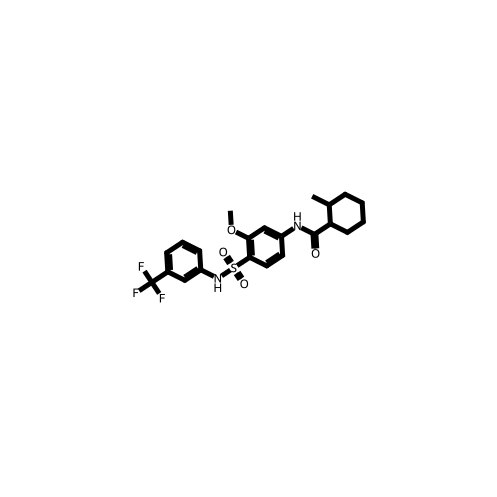 COc1cc(NC(=O)C2CCCCC2C)ccc1S(=O)(=O)Nc1cccc(C(F)(F)F)c1